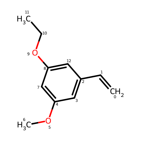 C=Cc1cc(OC)cc(OCC)c1